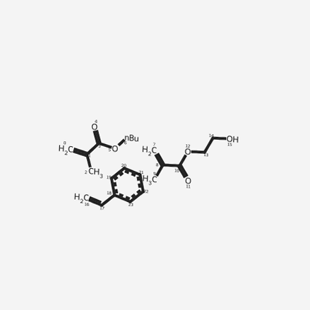 C=C(C)C(=O)OCCCC.C=C(C)C(=O)OCCO.C=Cc1ccccc1